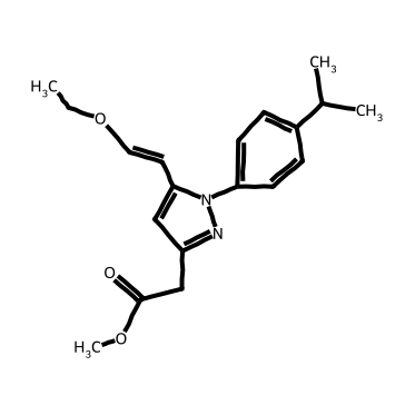 CCO/C=C/c1cc(CC(=O)OC)nn1-c1ccc(C(C)C)cc1